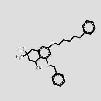 CC1(C)Cc2cc(OCCCCCc3ccccc3)cc(OCc3ccccc3)c2C(C#N)C1